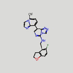 N#Cc1ccc(-c2cnc(NCc3c(F)ccc4c3CCO4)n3cnnc23)c2nccn12